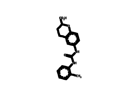 Cc1ccccc1NC(=O)Nc1ccc2c(c1)CCC(C(=O)O)O2